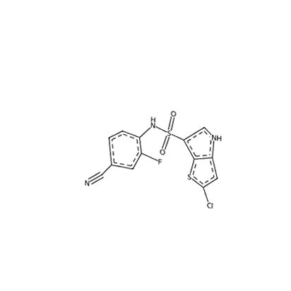 N#Cc1ccc(NS(=O)(=O)c2c[nH]c3cc(Cl)sc23)c(F)c1